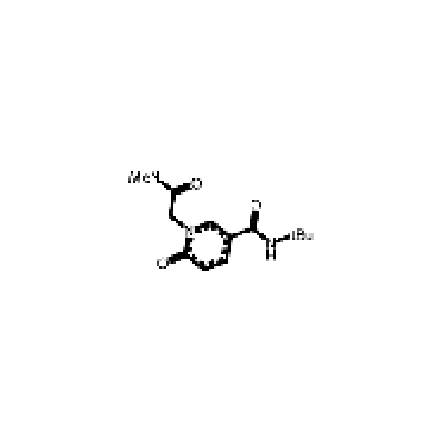 CNC(=O)Cn1cc(C(=O)NC(C)(C)C)ccc1=O